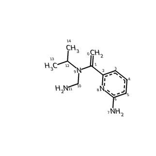 C=C(c1cccc(N)n1)N(CN)C(C)C